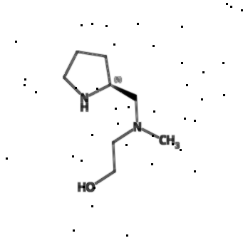 CN(CCO)C[C@@H]1CCCN1